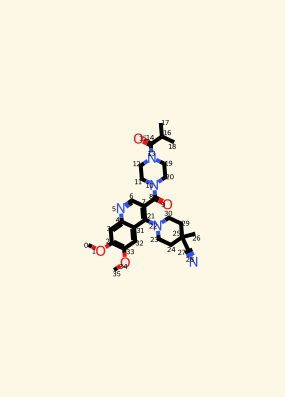 COc1cc2ncc(C(=O)N3CCN(C(=O)C(C)C)CC3)c(N3CCC(C)(C#N)CC3)c2cc1OC